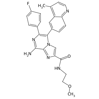 COCCNC(=O)c1cn2c(-c3ccc4nccc(C)c4c3)c(-c3ccc(F)cc3)nc(N)c2n1